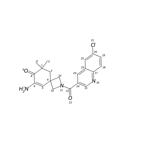 CC1(C)CC2(C=C(N)C1=O)CN(C(=O)c1cnc3ccc(Cl)cc3c1)C2